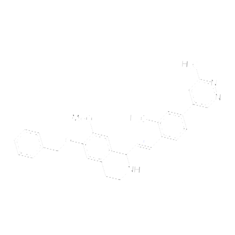 COc1cc2c(cc1OCc1ccccc1)CCNC2/C=C/c1ccc(-c2cnnc(C)c2)cc1C